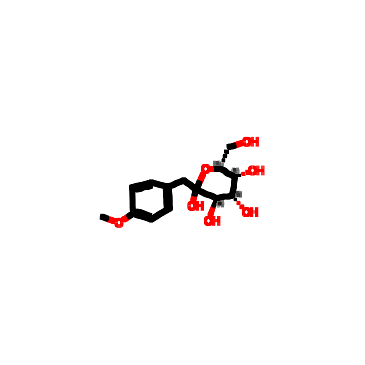 COc1ccc(CC2(O)O[C@H](CO)[C@H](O)[C@H](O)[C@H]2O)cc1